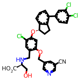 N#Cc1cncc(COc2cc(O[C@H]3CCc4c(-c5ccc(Cl)c(Cl)c5)cccc43)c(Cl)cc2CN[C@@H](CO)C(=O)O)c1